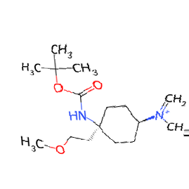 C=[N+](C)[C@H]1CC[C@@](CCOC)(NC(=O)OC(C)(C)C)CC1